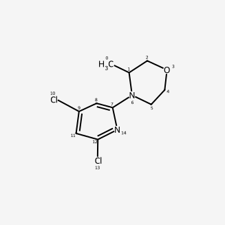 CC1COCCN1c1cc(Cl)cc(Cl)n1